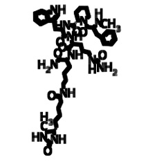 CNC(Cc1ccccc1)C(=O)N1CCCC[C@H]1C(=O)NC(Cc1c[nH]c2ccccc12)C(=O)NC(CCCNC(N)=O)C(=O)NC(CCCCNC(=O)CCCCC[C@@H]1NC(=O)N[C@@H]1C)C(N)=O